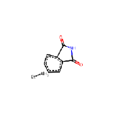 C[CH2][AlH2].O=C1NC(=O)c2ccccc21